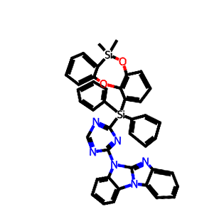 C[Si]1(C)Oc2cccc([Si](c3ccccc3)(c3ccccc3)c3ncnc(-n4c5ccccc5n5c6ccccc6nc45)n3)c2Oc2ccccc21